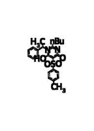 CCCCc1nc(=O)c(S(=O)(=O)c2ccc(C)cc2)c(O)n1C(C)c1ccccc1